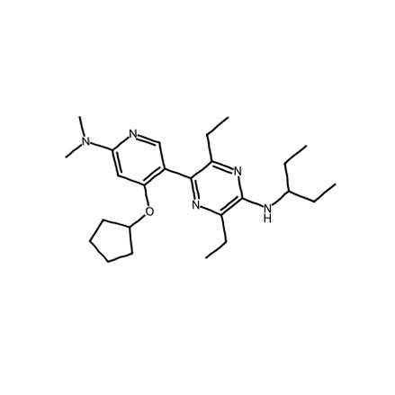 CCc1nc(-c2cnc(N(C)C)cc2OC2CCCC2)c(CC)nc1NC(CC)CC